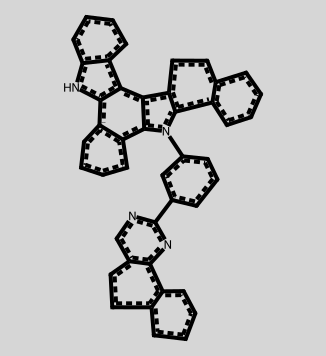 c1cc(-c2ncc3ccc4ccccc4c3n2)cc(-n2c3c4ccccc4ccc3c3c4c5ccccc5[nH]c4c4ccccc4c32)c1